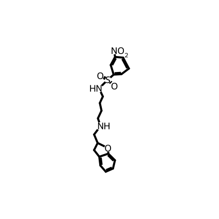 O=[N+]([O-])c1cccc(S(=O)(=O)NCCCCNCC2Cc3ccccc3O2)c1